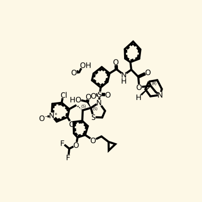 O=C(NC(C(=O)O[C@H]1CN2CCC1CC2)c1ccccc1)c1cccc(S(=O)(=O)N2CCS[C@]2(C(=O)O)[C@@H](Cc2c(Cl)c[n+]([O-])cc2Cl)c2ccc(OC(F)F)c(OCC3CC3)c2)c1.O=CO